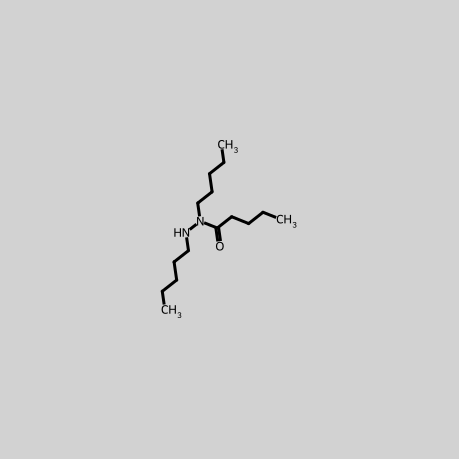 CCCCCNN(CCCCC)C(=O)CCCC